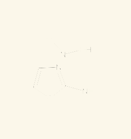 Nc1ncco1.O=NO